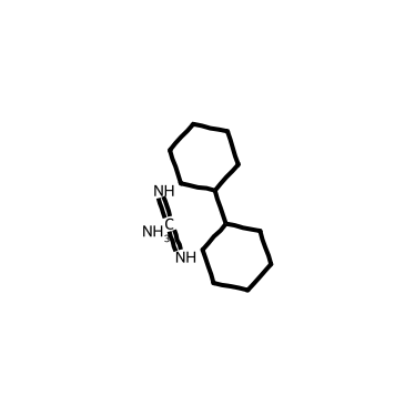 C1CCC(C2CCCCC2)CC1.N.N=C=N